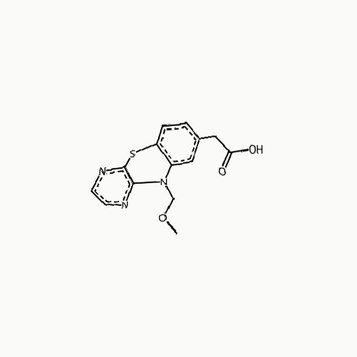 COCN1c2cc(CC(=O)O)ccc2Sc2nccnc21